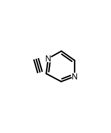 C#C.c1cnccn1